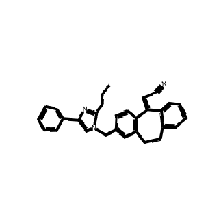 CCCc1nc(-c2ccccc2)cn1Cc1ccc2c(c1)CCc1ccccc1C2=CC#N